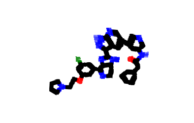 O=C(Cc1ccccc1)Nc1cncc(-c2cnc3[nH]nc(-c4nc5c(-c6cc(F)cc(OCCN7CCCC7)c6)nccc5[nH]4)c3c2)c1